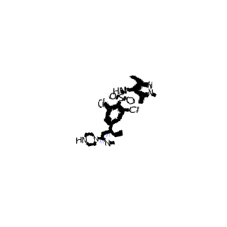 C=C/C(=C\C(=N/C)N1CCNCC1)c1cc(Cl)c(S(=O)(=O)Nc2c(C)nn(C)c2C)c(Cl)c1